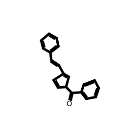 O=C(c1ccccc1)C1C=CC(/C=C/c2ccccc2)=C1